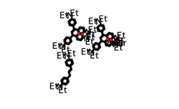 Br.Br.Br.CCN(CC)c1ccc(C(=CC(c2ccc(N(CC)CC)cc2)c2ccc(N(CC)CC)cc2)c2ccc(N(CC)CC)cc2)cc1.CCN(CC)c1ccc(C(=CC(c2ccc(N(CC)CC)cc2)c2ccc(N(CC)CC)cc2)c2ccc(N(CC)CC)cc2)cc1.CCN(CC)c1ccc(C=CCc2ccc(N(CC)CC)cc2)cc1